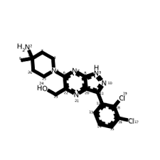 CC1(N)CCN(c2nc3[nH]nc(-c4cccc(Cl)c4Cl)c3nc2CO)CC1